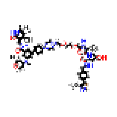 CCN(c1cc(-c2ccc(N3CCN(CCOCCOCC(=O)N[C@H](C(=O)N4C[C@@H](O)C[C@H]4C(=O)NCc4ccc(-c5scnc5C)cc4)C(C)(C)C)CC3)cc2)cc(C(=O)NCc2c(C)cc(C)[nH]c2=O)c1C)C1CCOCC1